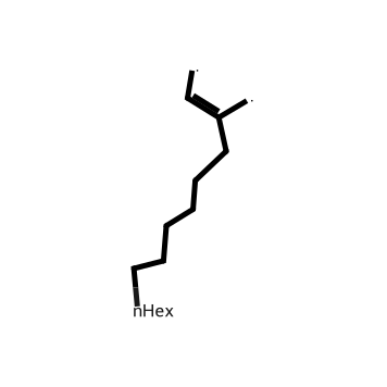 [CH2]C=C([CH2])CCCCCCCCCCCC